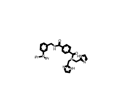 CC(C)N(c1cccc(CNC(=O)c2ccc(C(=O)N(Cc3ncc[nH]3)Cc3ncc[nH]3)cc2)c1)C(C)C